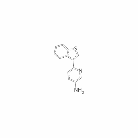 Nc1ccc(-c2csc3ccccc23)nc1